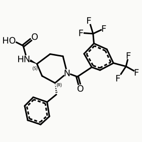 O=C(O)N[C@H]1CCN(C(=O)c2cc(C(F)(F)F)cc(C(F)(F)F)c2)[C@H](Cc2ccccc2)C1